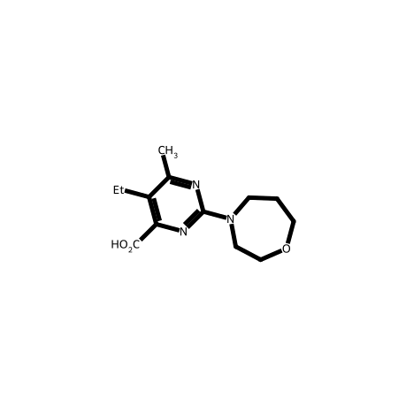 CCc1c(C)nc(N2CCCOCC2)nc1C(=O)O